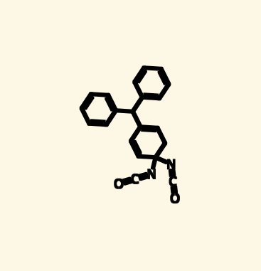 O=C=NC1(N=C=O)C=CC(C(c2ccccc2)c2ccccc2)=CC1